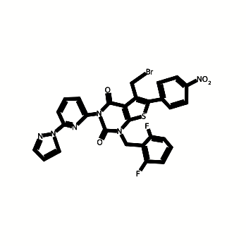 O=c1c2c(CBr)c(-c3ccc([N+](=O)[O-])cc3)sc2n(Cc2c(F)cccc2F)c(=O)n1-c1cccc(-n2cccn2)n1